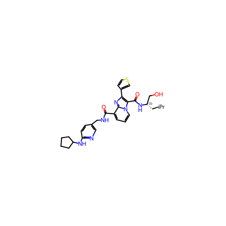 CC(C)C[C@@H](CO)NC(=O)c1c(-c2ccsc2)nc2c(C(=O)NCc3ccc(NC4CCCC4)nc3)cccn12